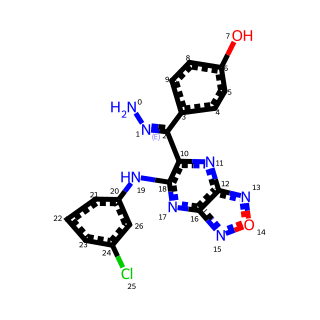 N/N=C(\c1ccc(O)cc1)c1nc2nonc2nc1Nc1cccc(Cl)c1